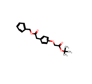 CC(C)(C)OC(=O)COc1ccc(CC(=O)OCc2ccccc2)cc1